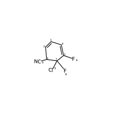 N#CC1C=CC=C(F)C1(F)Cl